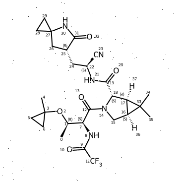 C[C@@H](OC1(C)CC1)[C@H](NC(=O)C(F)(F)F)C(=O)N1C[C@H]2[C@@H]([C@H]1C(=O)N[C@H](C#N)C[C@@H]1CC3(CC3)NC1=O)C2(C)C